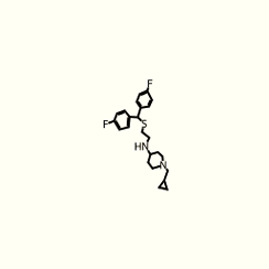 Fc1ccc(C(SCCNC2CCN(CC3CC3)CC2)c2ccc(F)cc2)cc1